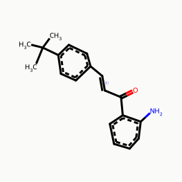 CC(C)(C)c1ccc(/C=C/C(=O)c2ccccc2N)cc1